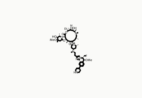 CC[C@H]1OC(=O)[C@H](C)[C@@H](OC2C[C@@](C)(OC)[C@@H](O)[C@H](C)O2)[C@H](C)[C@@H](O[C@H]2C[C@@H](N(C)CCc3cn([C@H](CF)[C@H](OC)c4ccc(C5=CCNCC5)cc4)nn3)C[C@@H](C)O2)[C@](C)(O)C[C@@H](C)CN(C)[C@H](C)[C@@H](O)[C@]1(C)O